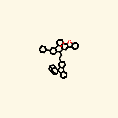 c1ccc(-c2ccc(C(CCc3ccc4c(c3)C3(c5ccccc5-4)C4CC5CC(C4)CC3C5)c3ccc4oc5ccccc5c4c3)c(-c3ccccc3)c2)cc1